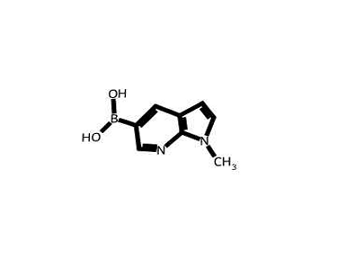 Cn1ccc2cc(B(O)O)cnc21